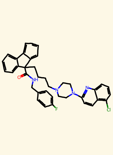 O=C(NCc1ccc(F)cc1)C1(CCCCN2CCN(c3ccc4c(Cl)cccc4n3)CC2)c2ccccc2-c2ccccc21